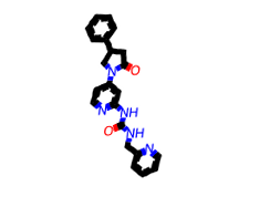 O=C(NCc1ccccn1)Nc1cc(N2CC(c3ccccc3)CC2=O)ccn1